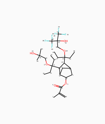 C=C(C)C(=O)OC1CC2CC1C(C(CC)(CC)OCC(C)(C)O)C2C(CC)(CC)OCC(O)(C(F)(F)F)C(F)(F)F